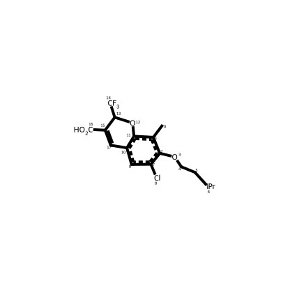 Cc1c(OCCC(C)C)c(Cl)cc2c1OC(C(F)(F)F)C(C(=O)O)=C2